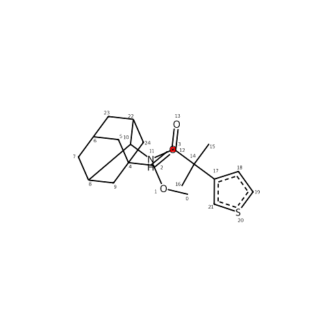 COC(=O)C12CC3CC(C1)C(NC(=O)C(C)(C)c1ccsc1)C(C3)C2